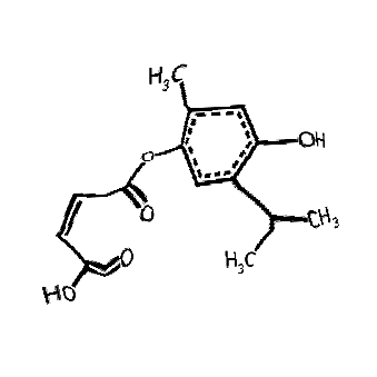 Cc1cc(O)c(C(C)C)cc1OC(=O)/C=C\C(=O)O